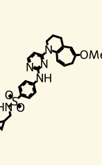 COC1=CC2=C(C=CC1)N(c1ccnc(Nc3ccc(S(=O)(=O)NCC4CC4)cc3)n1)CCC2